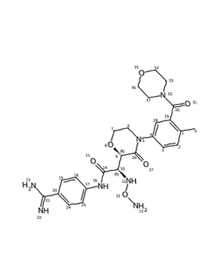 Cc1ccc(N2CCO[C@H]([C@@H](NON)C(=O)Nc3ccc(C(=N)N)cc3)C2=O)cc1C(=O)N1CCOCC1